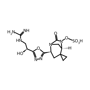 N=C(N)NC[C@H](O)c1nnc([C@@H]2CC3(CC3)[C@H]3CN2C(=O)N3OS(=O)(=O)O)o1